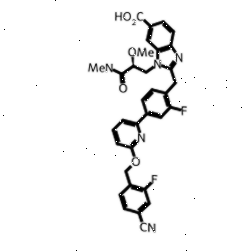 CNC(=O)[C@H](Cn1c(Cc2ccc(-c3cccc(OCc4ccc(C#N)cc4F)n3)cc2F)nc2ccc(C(=O)O)cc21)OC